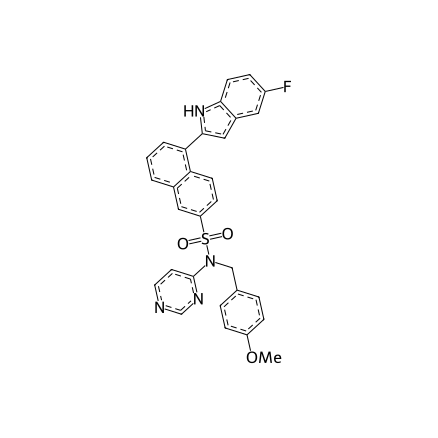 COc1ccc(CN(c2ccncn2)S(=O)(=O)c2ccc3c(-c4cc5cc(F)ccc5[nH]4)cccc3c2)cc1